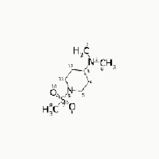 CN(C)C1CCN(S(C)(=O)=O)CC1